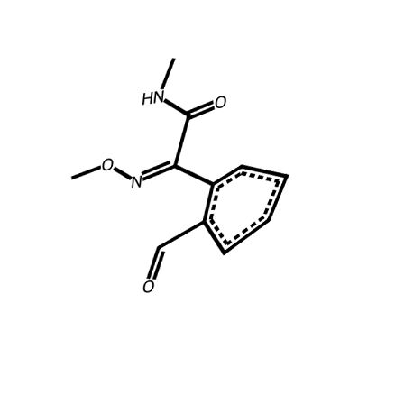 CNC(=O)/C(=N\OC)c1ccccc1C=O